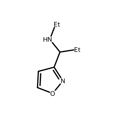 CCNC(CC)c1ccon1